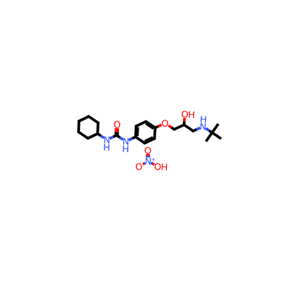 CC(C)(C)NCC(O)COc1ccc(NC(=O)NC2CCCCC2)cc1.O=[N+]([O-])O